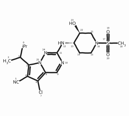 CC(C)C(C)c1c(C#N)c(Cl)c2cnc(N[C@H]3CCN(S(C)(=O)=O)C[C@@H]3O)nn12